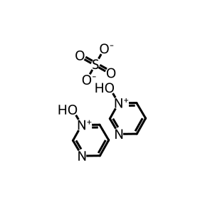 O=S(=O)([O-])[O-].O[n+]1cccnc1.O[n+]1cccnc1